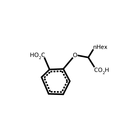 CCCCCCC(Oc1ccccc1C(=O)O)C(=O)O